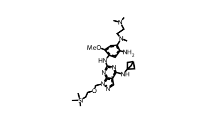 COc1cc(N(C)CCN(C)C)c(N)cc1Nc1nc(NC23CC(C2)C3)c2cnn(COCC[Si](C)(C)C)c2n1